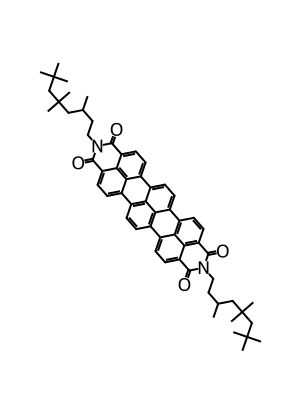 CC(CCN1C(=O)c2ccc3c4ccc5c6ccc7c8c(ccc(c9ccc(c%10ccc(c2c3%10)C1=O)c4c59)c86)C(=O)N(CCC(C)CC(C)(C)CC(C)(C)C)C7=O)CC(C)(C)CC(C)(C)C